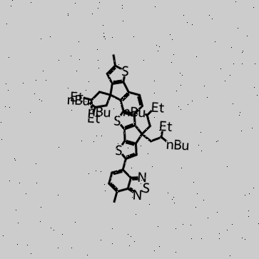 CCCCC(CC)CC1(CC(CC)CCCC)c2cc(-c3ccc(C)c4nsnc34)sc2-c2sc3c4c(ccc3c21)-c1sc(C)cc1C4(CC(CC)CCCC)CC(CC)CCCC